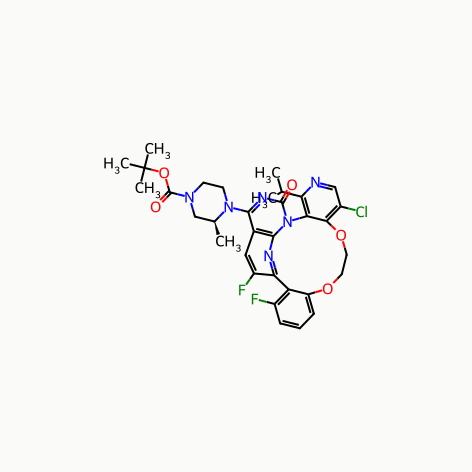 CC(C)c1ncc(Cl)c2c1-n1c(=O)nc(N3CCN(C(=O)OC(C)(C)C)C[C@@H]3C)c3cc(F)c(nc31)-c1c(F)cccc1OCCO2